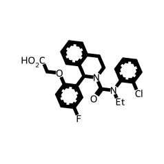 CCN(C(=O)N1CCc2ccccc2C1c1cc(F)ccc1OCC(=O)O)c1ccccc1Cl